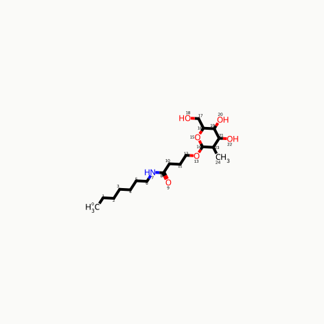 CCCCCCCNC(=O)CCCOC1OC(CO)C(O)C(O)C1C